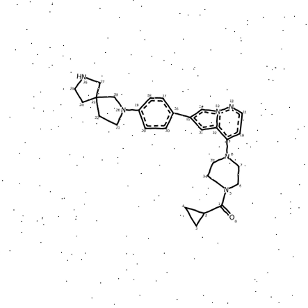 O=C(C1CC1)N1CCN(c2ccnn3cc(-c4ccc(N5CCC6(CCNC6)C5)cc4)cc23)CC1